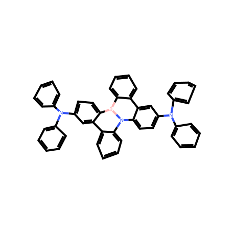 c1ccc(N(c2ccccc2)c2ccc3c(c2)-c2ccccc2N2B3c3ccccc3-c3cc(N(c4ccccc4)c4ccccc4)ccc32)cc1